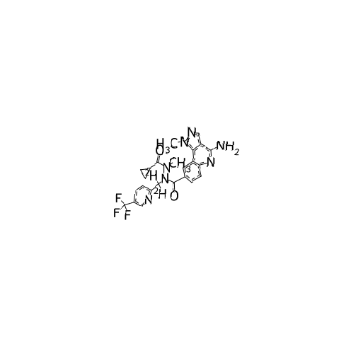 [2H]C([2H])(c1ccc(C(F)(F)F)cn1)N(C(=O)c1ccc2nc(N)c3cnn(C)c3c2c1)N(C)C(=O)C1CC1